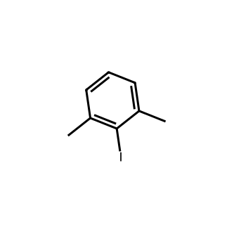 Cc1cccc(C)c1I